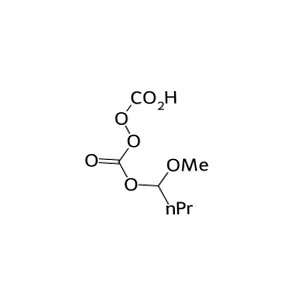 CCCC(OC)OC(=O)OOC(=O)O